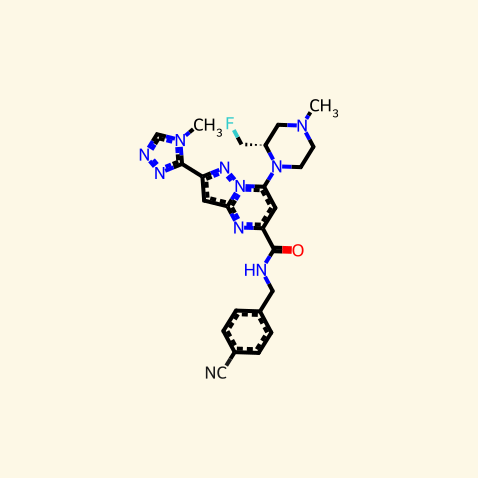 CN1CCN(c2cc(C(=O)NCc3ccc(C#N)cc3)nc3cc(-c4nncn4C)nn23)[C@H](CF)C1